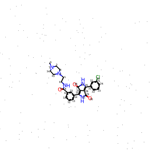 CN1CCN(CCNC(=O)c2cccc(C3=C4C(=O)NC(c5cccc(Cl)c5)=C4C(=O)N3)c2)CC1